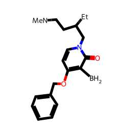 Bc1c(OCc2ccccc2)ccn(CC(CC)CCNC)c1=O